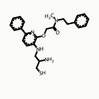 CN(CCc1ccccc1)C(=O)COc1nc(-c2ccccc2)ccc1NCC(N)CS